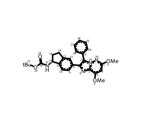 COc1cc(OC)c2nc(-c3ccc4c(c3)CC[C@@H]4NC(=O)OC(C)(C)C)c(-c3ccccc3)n2n1